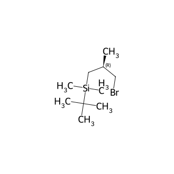 C[C@@H](CBr)C[Si](C)(C)C(C)(C)C